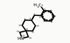 Cc1ccccc1CC1CCC2(CC1)CNC2